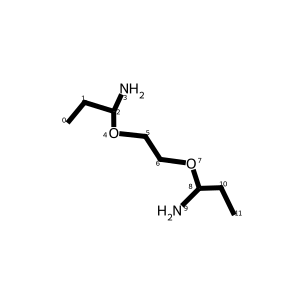 CCC(N)OCCOC(N)CC